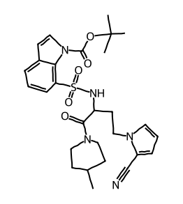 CC1CCN(C(=O)C(CCn2cccc2C#N)NS(=O)(=O)c2cccc3ccn(C(=O)OC(C)(C)C)c23)CC1